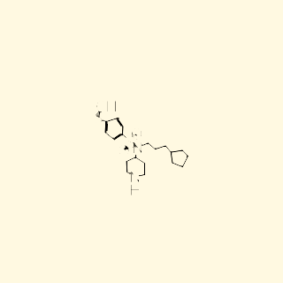 CSc1ccc(S(=O)(=O)N(CCCC2CCCC2)C2CCNCC2)cc1